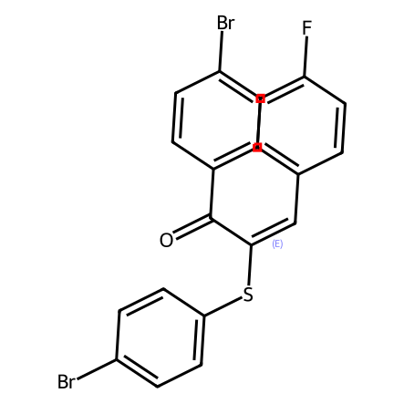 O=C(/C(=C\c1ccc(F)cc1)Sc1ccc(Br)cc1)c1ccc(Br)cc1